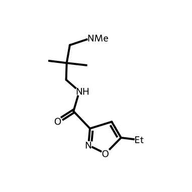 CCc1cc(C(=O)NCC(C)(C)CNC)no1